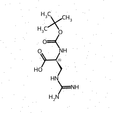 CC(C)(C)OC(=O)N[C@@H](CNC(=N)N)C(=O)O